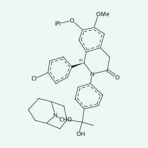 COc1cc2c(cc1OC(C)C)[C@H](c1ccc(Cl)cc1)N(c1ccc(C(C)(O)C3CC4CCCC(C3)N4C=O)cc1)C(=O)C2